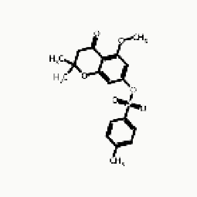 COc1cc(OS(=O)(=O)c2ccc(C)cc2)cc2c1C(=O)CC(C)(C)O2